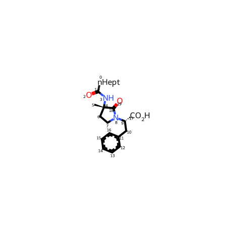 CCCCCCCC(=O)N[C@@]1(C)CCN([C@@H](Cc2ccccc2)C(=O)O)C1=O